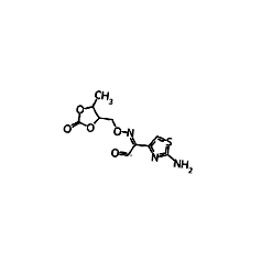 CC1OC(=O)OC1CON=C([C]=O)c1csc(N)n1